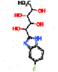 O=C(O)C(O)[C@@H](O)C(O)C(O)c1nc2cc(F)ccc2[nH]1